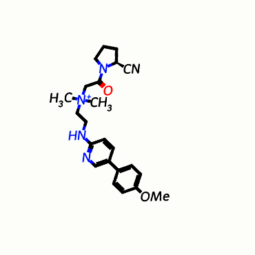 COc1ccc(-c2ccc(NCC[N+](C)(C)CC(=O)N3CCC[C@H]3C#N)nc2)cc1